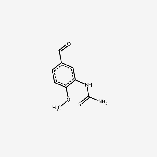 COc1ccc(C=O)cc1NC(N)=S